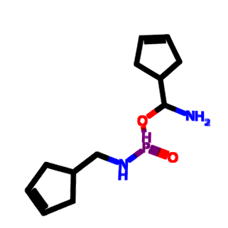 NC(O[PH](=O)NCC1CC=CC1)C1CC=CC1